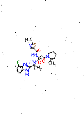 Cc1ncc(C(=O)N[C@@H](CC(=O)N2CCCC[C@@H]2C)C(=O)N[C@@H](C)c2nc3c(F)cccc3[nH]2)s1